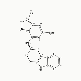 CSc1nc(N[C@@H]2CCc3[nH]c4ccccc4c3C2)n2ncc(C(C)C)c2n1